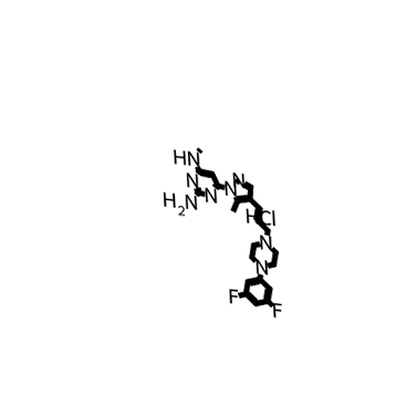 CNc1cc(-n2ncc(C=CCN3CCN(c4cc(F)cc(F)c4)CC3)c2C)nc(N)n1.Cl